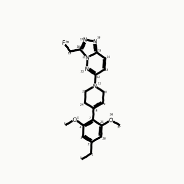 CCc1cc(OC)c(C2=CCN(c3ccc4nnc(CF)n4n3)CC2)c(OC)c1